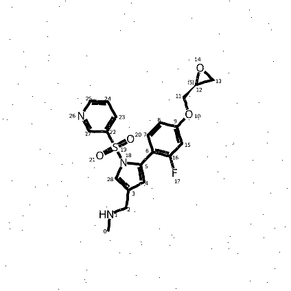 CNCc1cc(-c2ccc(OC[C@@H]3CO3)cc2F)n(S(=O)(=O)c2cccnc2)c1